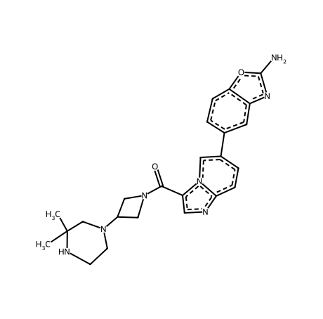 CC1(C)CN(C2CN(C(=O)c3cnc4ccc(-c5ccc6oc(N)nc6c5)cn34)C2)CCN1